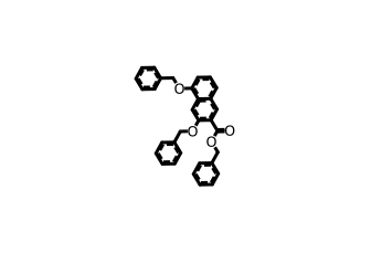 O=C(OCc1ccccc1)c1cc2cccc(OCc3ccccc3)c2cc1OCc1ccccc1